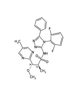 CO[C@H](c1ncc(C)cn1)[C@H](C)S(=O)(=O)Nc1nnc(-c2ccccc2)n1-c1c(F)cccc1F